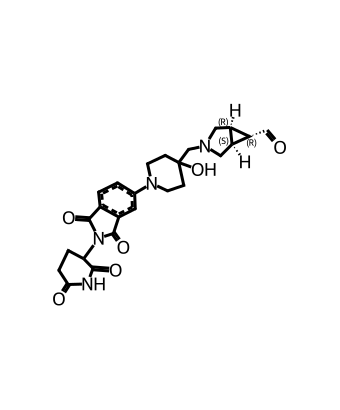 O=C[C@@H]1[C@H]2CN(CC3(O)CCN(c4ccc5c(c4)C(=O)N(C4CCC(=O)NC4=O)C5=O)CC3)C[C@@H]12